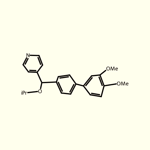 COc1ccc(-c2ccc(C(OC(C)C)c3ccncc3)cc2)cc1OC